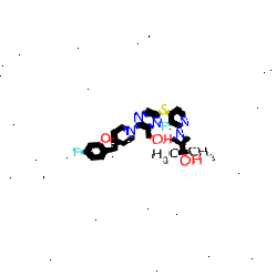 CC(C)(O)C1CN(c2nccc(Sc3cnc(N4CCC5(CC4)Cc4ccc(F)cc4O5)c(CO)n3)c2F)C1